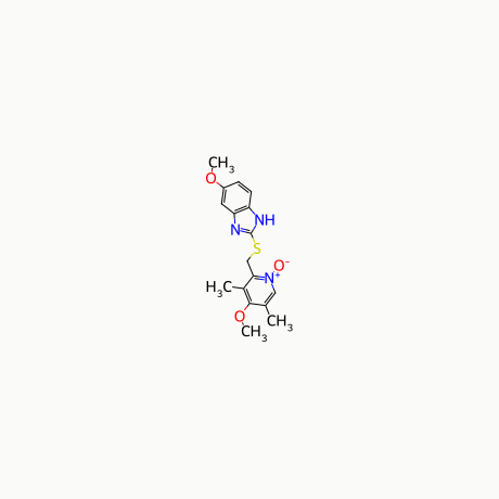 COc1ccc2[nH]c(SCc3c(C)c(OC)c(C)c[n+]3[O-])nc2c1